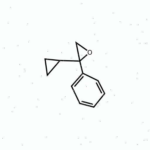 c1ccc(C2(C3CC3)CO2)cc1